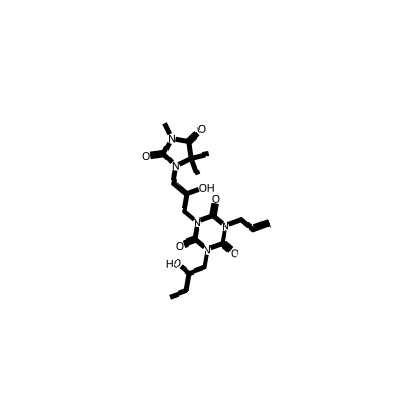 C=CCn1c(=O)n(CC(O)CC)c(=O)n(CC(O)CN2C(=O)N(C)C(=O)C2(C)C)c1=O